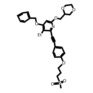 CCc1c(OCc2ccccc2)cc(OCC2COCCO2)nc1C#Cc1ccc(OCCCS(C)(=O)=O)cc1